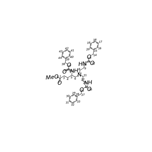 COC(=O)CCC(CN(CCNC(=O)OCc1ccccc1)CCNC(=O)OCc1ccccc1)NC(=O)OCc1ccccc1